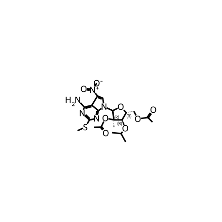 CSc1nc(N)c2c([N+](=O)[O-])cn(C3O[C@H](COC(C)=O)[C@@H](OC(C)C)[C@@]3(C)OC(C)=O)c2n1